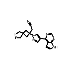 N#CCC1(n2cc(-c3ncnc4[nH]ccc34)cn2)CC(CF)(CF)C1